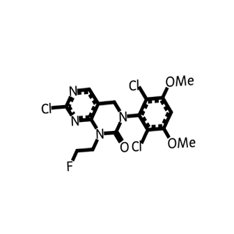 COc1cc(OC)c(Cl)c(N2Cc3cnc(Cl)nc3N(CCF)C2=O)c1Cl